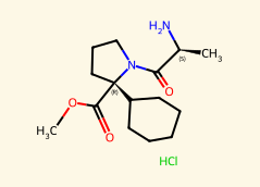 COC(=O)[C@]1(C2CCCCC2)CCCN1C(=O)[C@H](C)N.Cl